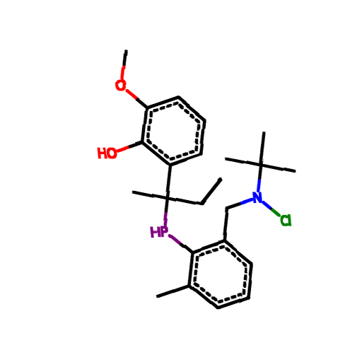 CCC(C)(Pc1c(C)cccc1CN(Cl)C(C)(C)C)c1cccc(OC)c1O